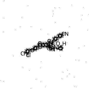 Cc1nc(NCC2CCCCC2)sc1S(=O)(=O)N1Cc2cc3c(cc2C[C@H]1C(=O)NC(Cc1ccc(-c2ccc(C#N)cc2)cc1)C(=O)O)OC[C@H](c1ccc(OCc2ccc(Cl)c(Cl)c2)cc1)O3